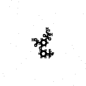 CNS(=O)(=O)c1ccc(Oc2cccc(C(F)(F)F)c2)c(C(=O)O)c1